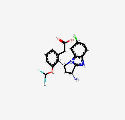 N[C@@H]1C[C@H](c2c(CC(=O)O)cccc2OC(F)F)n2c1nc1ccc(Cl)cc12